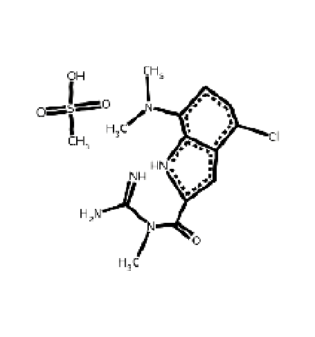 CN(C(=N)N)C(=O)c1cc2c(Cl)ccc(N(C)C)c2[nH]1.CS(=O)(=O)O